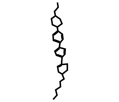 CCCCCCC1CC=C(c2ccc(-c3ccc(C4CCC(CCC)CC4)cc3)cc2)CC1